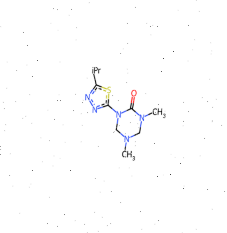 CC(C)c1nnc(N2CN(C)CN(C)C2=O)s1